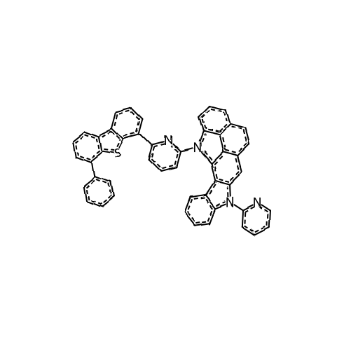 c1ccc(-c2cccc3c2sc2c(-c4cccc(-n5c6cccc7ccc8cc9c(c%10ccccc%10n9-c9ccccn9)c5c8c76)n4)cccc23)cc1